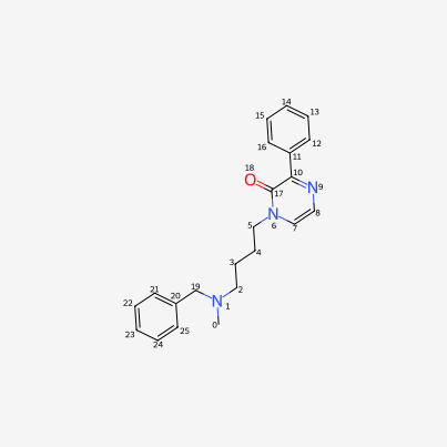 CN(CCCCn1ccnc(-c2ccccc2)c1=O)Cc1ccccc1